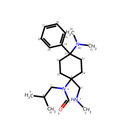 CNCC1(N(C=O)CC(C)C)CCC(c2ccccc2)(N(C)C)CC1